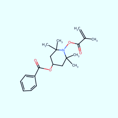 C=C(C)C(=O)ON1C(C)(C)CC(OC(=O)c2ccccc2)CC1(C)C